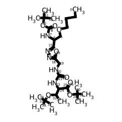 CCCCOCC(NC(=O)OC(C)(C)C)c1nnc(CNC(=O)NC(C(=O)OC(C)(C)C)C(C)OC(C)(C)C)o1